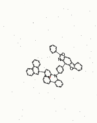 c1ccc(-c2nc3c(-c4ccc(N(c5ccc(-c6cc7ccccc7c7ccccc67)cc5)c5ccccc5-c5ccccc5)cc4)c4oc5ccccc5c4cc3o2)cc1